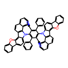 N#Cc1c(-c2ccccc2)c(-n2c3ccc4c5ccccc5oc4c3c3ccc4ccccc4c32)c(C#N)c(-c2ccccc2)c1-n1c2ccc3c4ccccc4oc3c2c2ccc3ccccc3c21